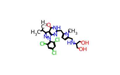 CC(C)c1nn(-c2c(Cl)cc(Cl)cc2Cl)c2nc(Cc3ccc(CNC(CO)CO)n3C)[nH]c(=O)c12